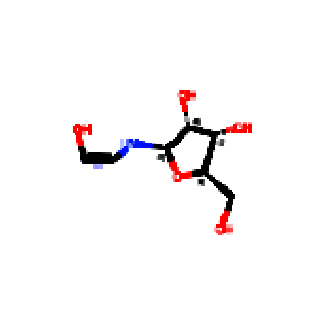 O/C=C\N[C@@H]1O[C@H](CO)[C@@H](O)[C@H]1O